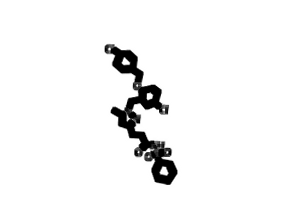 Cc1cc(CCC(=O)NS(=O)(=O)c2ccccc2)nn1Cc1cc(Cl)ccc1OCc1ccc(Cl)cc1